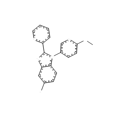 COc1ccc(-n2c(-c3ccccn3)nc3cc(Br)ccc32)cn1